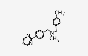 [CH2]c1ccc(CN(C)Cc2ccc(-c3ncccn3)cc2)cc1